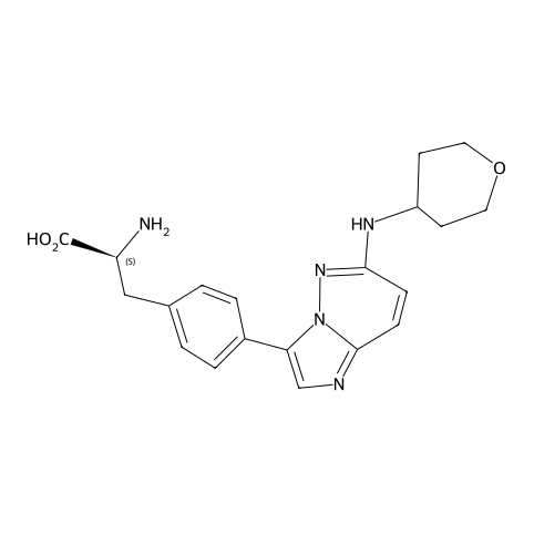 N[C@@H](Cc1ccc(-c2cnc3ccc(NC4CCOCC4)nn23)cc1)C(=O)O